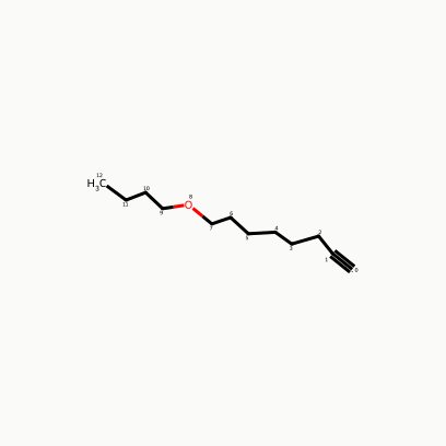 [C]#CCCCCCCOCCCC